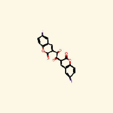 O=C(C(=O)c1cc2cc(I)ccc2oc1=O)c1cc2cc(I)ccc2oc1=O